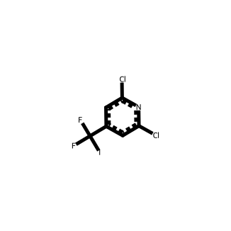 FC(F)(I)c1cc(Cl)nc(Cl)c1